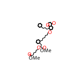 COC(=O)CCCCCOC(Cc1ccccc1CCCCCCOc1ccc2c(=O)ccoc2c1CCCc1ccccc1)C(=O)OC